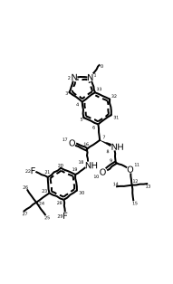 Cn1ncc2cc([C@@H](NC(=O)OC(C)(C)C)C(=O)Nc3cc(F)c(C(C)(C)C)c(F)c3)ccc21